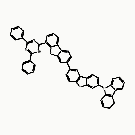 C1=Cc2c(c3ccccc3n2-c2ccc3c(c2)oc2ccc(-c4ccc5c(c4)sc4c(C6N=C(c7ccccc7)N=C(c7ccccc7)N6)cccc45)cc23)CC1